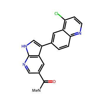 CNC(=O)c1cnc2[nH]cc(-c3ccc4nccc(Cl)c4c3)c2c1